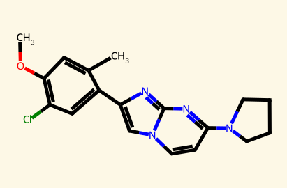 COc1cc(C)c(-c2cn3ccc(N4CCCC4)nc3n2)cc1Cl